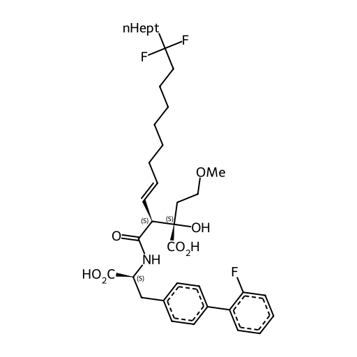 CCCCCCCC(F)(F)CCCCCCC=C[C@H](C(=O)N[C@@H](Cc1ccc(-c2ccccc2F)cc1)C(=O)O)[C@@](O)(CCOC)C(=O)O